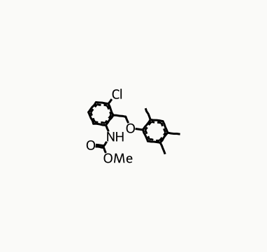 COC(=O)Nc1cccc(Cl)c1COc1cc(C)c(C)cc1C